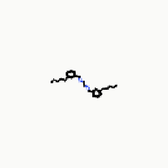 CCCCCc1cccc(C=NCCN=Cc2cccc(CCCCC)c2)c1